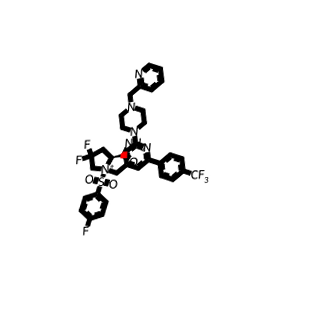 NC(=O)[C@@H]1CC(F)(F)C[N+]1(Cc1cc(-c2ccc(C(F)(F)F)cc2)nc(N2CCN(Cc3ccccn3)CC2)c1)S(=O)(=O)c1ccc(F)cc1